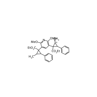 CCOC(=O)C1(c2cc(C3(C(=O)OCC)C(c4ccccc4)[C@@H]3C)c(OC)nc2OC)C(C)C1c1ccccc1